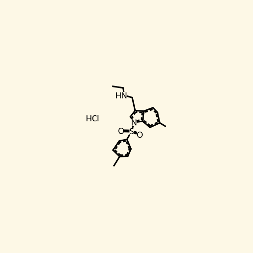 CCNCc1cn(S(=O)(=O)c2ccc(C)cc2)c2cc(C)ccc12.Cl